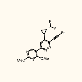 CCC#Cc1nnc(-c2cnc(OC)nc2OC)cc1C1C[C@@H]1C(F)F